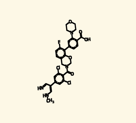 CN/C=C(\C=N)c1cc(Cl)c(C(=O)N2COc3c(ccc(F)c3-c3ccc(C(=O)O)c(N4CCOCC4)c3)C2)c(Cl)c1